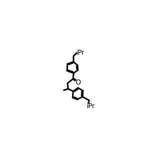 CC(C)Cc1ccc(C(=O)CC(C)c2ccc(CC(C)C)cc2)cc1